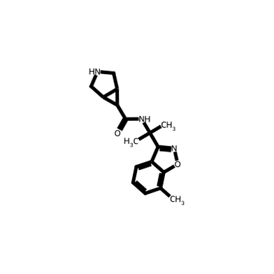 Cc1cccc2c(C(C)(C)NC(=O)C3C4CNCC43)noc12